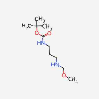 COCNCCCNC(=O)OC(C)(C)C